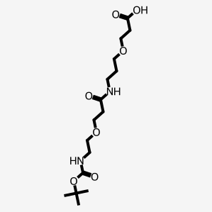 CC(C)(C)OC(=O)NCCOCCC(=O)NCCCOCCC(=O)O